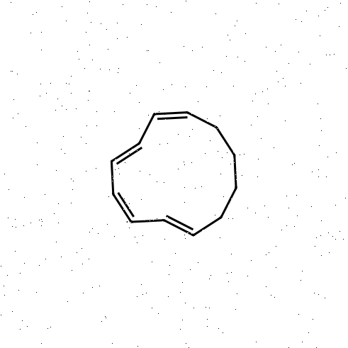 [C]1=C\C=C\C=C/CCCC/C=C/1